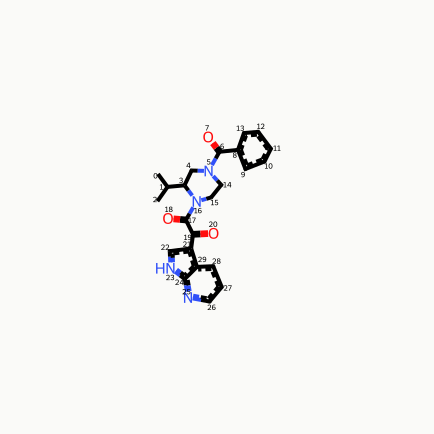 CC(C)C1CN(C(=O)c2ccccc2)CCN1C(=O)C(=O)c1c[nH]c2ncccc12